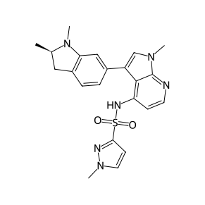 C[C@@H]1Cc2ccc(-c3cn(C)c4nccc(NS(=O)(=O)c5ccn(C)n5)c34)cc2N1C